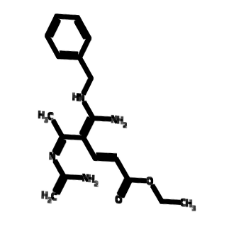 C=C(N)/N=C(/C)C(/C=C/C(=O)OCC)=C(N)NCc1ccccc1